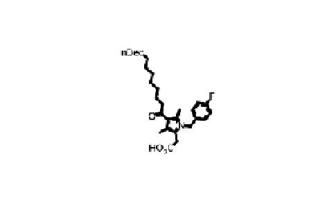 CCCCCCCCCCCCCCCCCC(=O)c1c(C)c(CC(=O)O)n(Cc2ccc(F)cc2)c1C